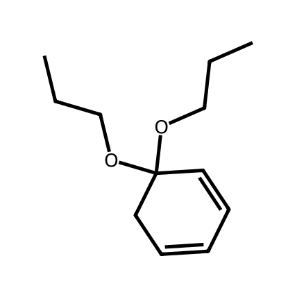 CCCOC1(OCCC)C=CC=CC1